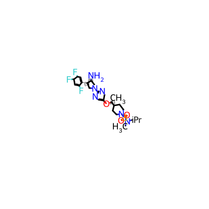 CC(C)N(C)S(=O)(=O)N1CCC([C@H](C)Oc2cnc(N3C[C@H](C4=CC(F)C(F)C=C4F)[C@@H](N)C3)nc2)CC1